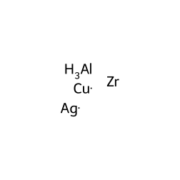 [Ag].[AlH3].[Cu].[Zr]